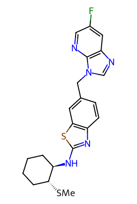 CS[C@@H]1CCCC[C@H]1Nc1nc2ccc(Cn3cnc4cc(F)cnc43)cc2s1